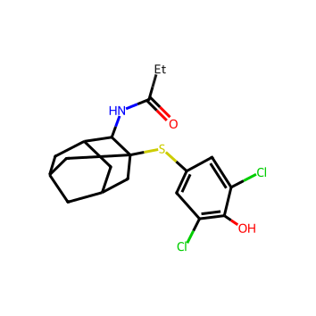 CCC(=O)NC1C2CC3CC(C2)CC1(Sc1cc(Cl)c(O)c(Cl)c1)C3